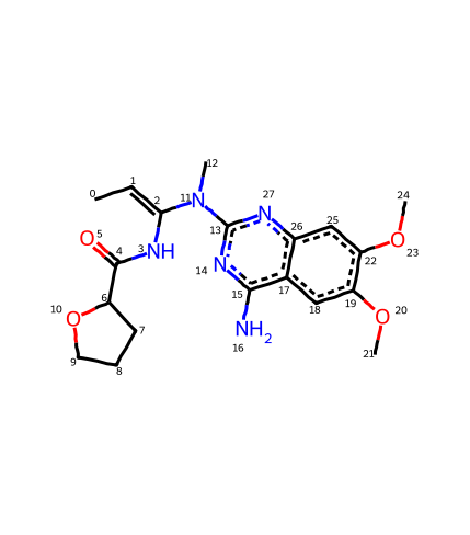 CC=C(NC(=O)C1CCCO1)N(C)c1nc(N)c2cc(OC)c(OC)cc2n1